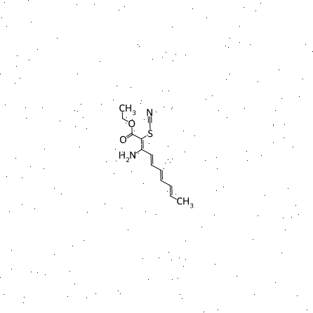 CC=CC=CC=CC(N)=C(SC#N)C(=O)OCC